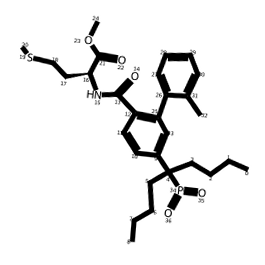 CCCCC(CCCC)(c1ccc(C(=O)N[C@@H](CCSC)C(=O)OC)c(-c2ccccc2C)c1)P(=O)=O